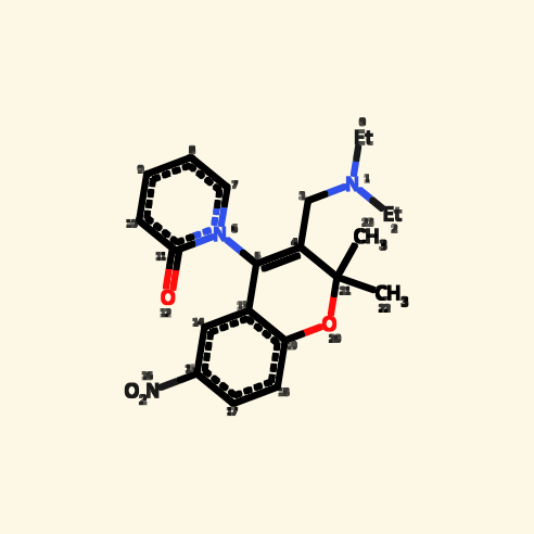 CCN(CC)CC1=C(n2ccccc2=O)c2cc([N+](=O)[O-])ccc2OC1(C)C